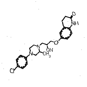 CC1CN(c2ccc(Cl)cc2)CCN1C[C@H](O)COc1ccc2c(c1)CCC(=O)N2